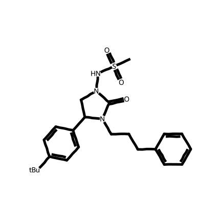 CC(C)(C)c1ccc(C2CN(NS(C)(=O)=O)C(=O)N2CCCc2ccccc2)cc1